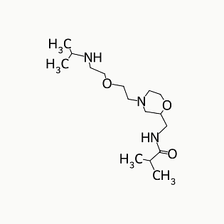 CC(C)NCCOCCN1CCOC(CNC(=O)C(C)C)C1